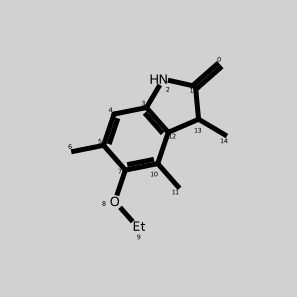 C=C1Nc2cc(C)c(OCC)c(C)c2C1C